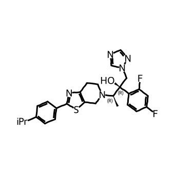 CC(C)c1ccc(-c2nc3c(s2)CN([C@H](C)[C@](O)(Cn2cncn2)c2ccc(F)cc2F)CC3)cc1